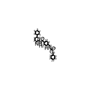 Nc1ccc(-c2ccccc2)nc1NC(=O)c1ccc(CNC(=O)OCc2ccccc2)cc1